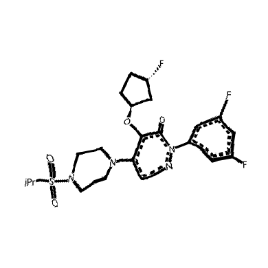 CC(C)S(=O)(=O)N1CCN(c2cnn(-c3cc(F)cc(F)c3)c(=O)c2O[C@H]2CC[C@H](F)C2)CC1